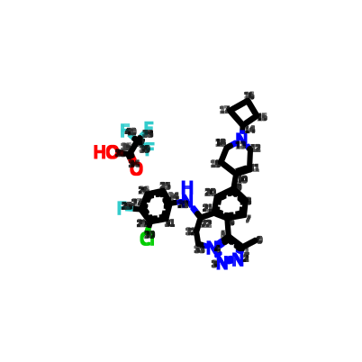 Cc1nnn2c1-c1ccc(C3=CCN(C4CCC4)CC3)cc1C(Nc1ccc(F)c(Cl)c1)CC2.O=C(O)C(F)(F)F